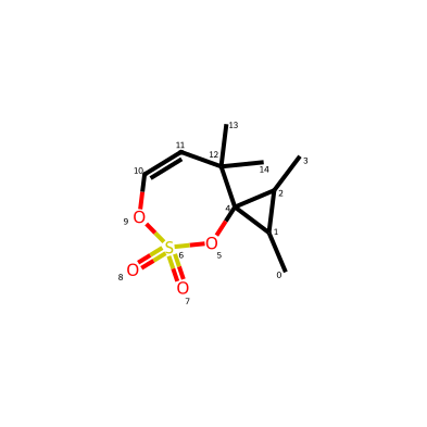 CC1C(C)C12OS(=O)(=O)OC=CC2(C)C